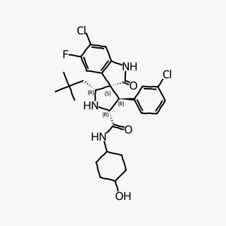 CC(C)(C)C[C@H]1N[C@@H](C(=O)NC2CCC(O)CC2)[C@H](c2cccc(Cl)c2)[C@@]12C(=O)Nc1cc(Cl)c(F)cc12